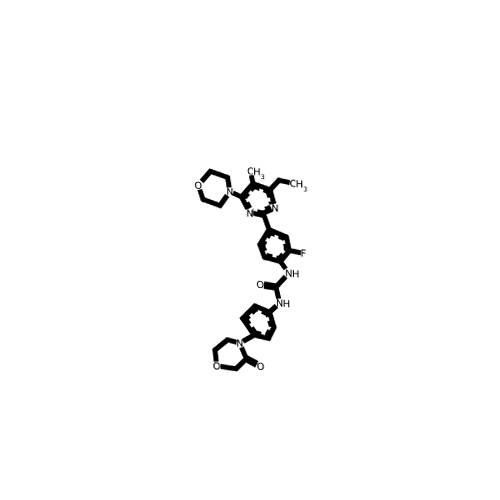 CCc1nc(-c2ccc(NC(=O)Nc3ccc(N4CCOCC4=O)cc3)c(F)c2)nc(N2CCOCC2)c1C